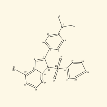 CN(C)c1ccc(-c2cc3c(Br)ccnc3n2S(=O)(=O)c2ccccc2)cc1